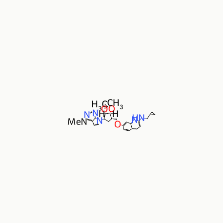 CNc1ncnc2c1ccn2[C@@H]1C[C@H](COc2ccc3ccc(NCC4CC4)nc3c2)[C@H]2OC(C)(C)O[C@H]21